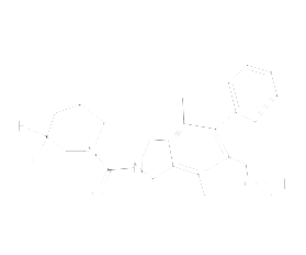 Cc1ccc(-c2c(C)c3c(c(C)c2CC(=O)O)CN(C(=O)N2CCCC(F)(F)C2)C3)cc1